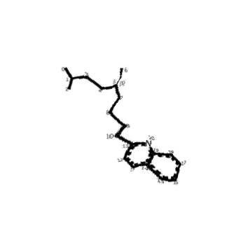 CC(C)CC[C@@H](C)CCCCc1ccc2ccccc2n1